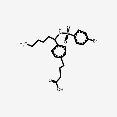 CCCCCC(NS(=O)(=O)c1ccc(Br)cc1)c1ccc(CCCC(=O)O)cc1